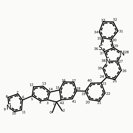 CC1(C)c2cc(-c3ccncc3)ccc2-c2ccc(-c3cccc(-c4ccc5nc6c7ccccc7sc6n5c4)c3)cc21